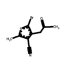 CC(=O)Cc1c(Br)sc(C)c1C#N